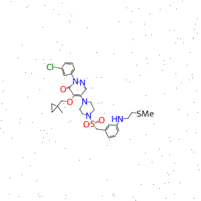 CSCCNc1cccc(CS(=O)(=O)N2CCN(c3cnn(-c4cccc(Cl)c4)c(=O)c3OCC3(C)CC3)CC2)c1